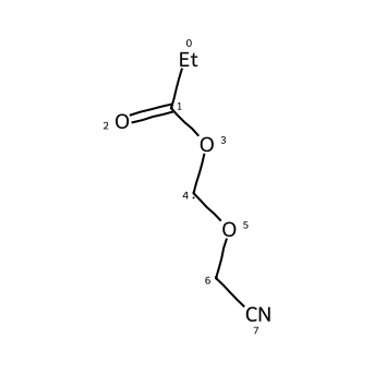 CCC(=O)O[CH]OCC#N